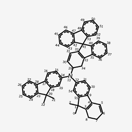 CC1(C)C2=C(C=CCC2)c2ccc(N(c3ccc4c(c3)C(C)(C)c3ccccc3-4)C3C=CC4=C(C3)c3ccccc3C43c4ccccc4-c4ccccc43)cc21